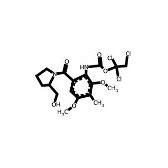 COc1cc(C(=O)N2CCCC2CO)c(NC(=O)OC(Cl)(Cl)CCl)c(OC)c1C